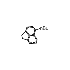 CCCCc1ccc2c3c(cccc13)CC2